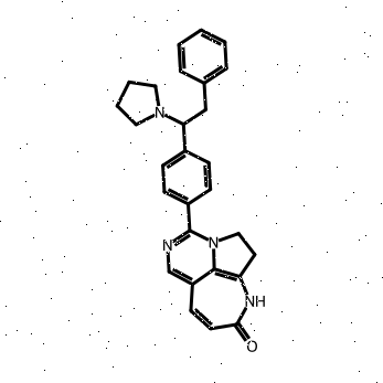 O=C1C=CC2=CN=C(c3ccc(C(Cc4ccccc4)N4CCCC4)cc3)N3CCC(=C23)N1